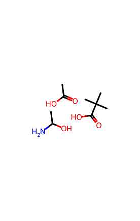 CC(=O)O.CC(C)(C)C(=O)O.CC(N)O